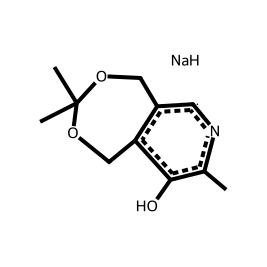 Cc1n[c]c2c(c1O)COC(C)(C)OC2.[NaH]